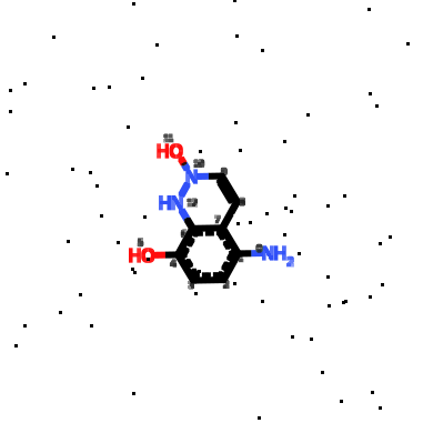 Nc1ccc(O)c2c1C=CN(O)N2